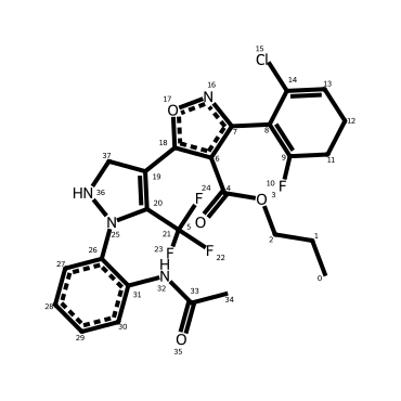 CCCOC(=O)c1c(C2=C(F)CCC=C2Cl)noc1C1=C(C(F)(F)F)N(c2ccccc2NC(C)=O)NC1